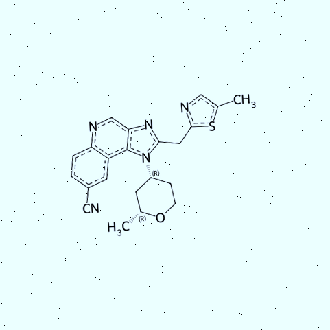 Cc1cnc(Cc2nc3cnc4ccc(C#N)cc4c3n2[C@@H]2CCO[C@H](C)C2)s1